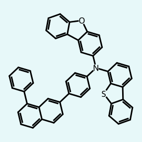 c1ccc(-c2cccc3ccc(-c4ccc(N(c5ccc6oc7ccccc7c6c5)c5cccc6c5sc5ccccc56)cc4)cc23)cc1